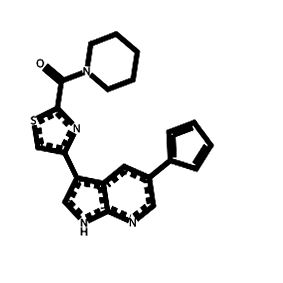 O=C(c1nc(-c2c[nH]c3ncc(C4=C=CC=C4)cc23)cs1)N1CCCCC1